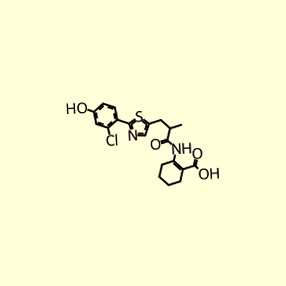 CC(Cc1cnc(-c2ccc(O)cc2Cl)s1)C(=O)NC1=C(C(=O)O)CCCC1